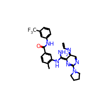 C=C/N=C1/C=NC(N2CCCC2)=N/C1=C(/N)Nc1cc(C(=O)Nc2cccc(C(F)(F)F)c2)ccc1C